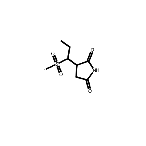 [CH2]S(=O)(=O)C(CC)C1CC(=O)NC1=O